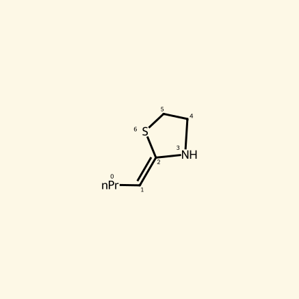 [CH2]CCC=C1NCCS1